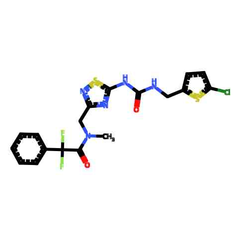 CN(Cc1nsc(NC(=O)NCc2ccc(Cl)s2)n1)C(=O)C(F)(F)c1ccccc1